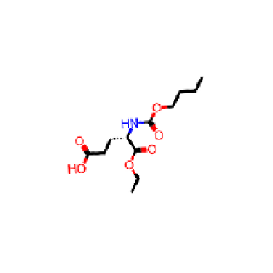 CCCCOC(=O)N[C@@H](CCC(=O)O)C(=O)OCC